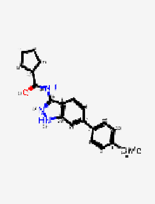 COc1ccc(-c2ccc3c(NC(=O)C4CCCC4)n[nH]c3c2)cc1